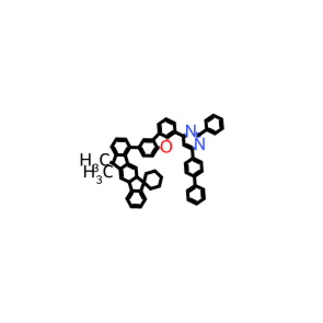 CC1(C)C2=CC3c4ccccc4C4(CCCCC4)C3C=C2c2c(-c3ccc4oc5c(-c6cc(-c7ccc(-c8ccccc8)cc7)nc(-c7ccccc7)n6)cccc5c4c3)cccc21